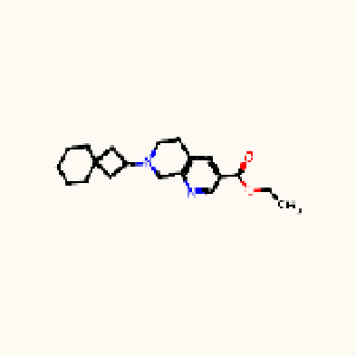 CCOC(=O)c1cnc2c(c1)CCN(C1CC3(CCCCC3)C1)C2